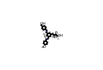 COC1CCC(/C=C/C2CC(CC(N)C(=O)CO)CC(/C=C/C3CCC(CO)CC3)C2OC)CC1